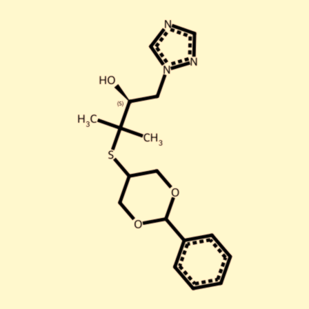 CC(C)(SC1COC(c2ccccc2)OC1)[C@@H](O)Cn1cncn1